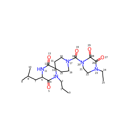 CCCN1C(=O)C(CC(C)C)NC(=O)C12CCN(C(=O)N1CCN(CC)C(=O)C1=O)CC2